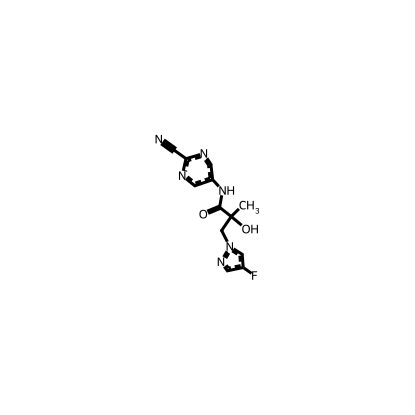 CC(O)(Cn1cc(F)cn1)C(=O)Nc1cnc(C#N)nc1